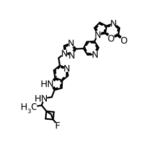 CC(NCc1cc2cnc(Cn3cnc(-c4cncc(-n5ccc6ncc(=O)oc65)c4)n3)cc2[nH]1)C12CC(F)(C1)C2